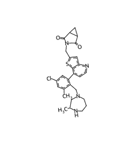 Cc1cc(Cl)cc(-c2ccnc3cc(CN4C(=O)C5CC5C4=O)sc23)c1CN1CCCNC(C)C1